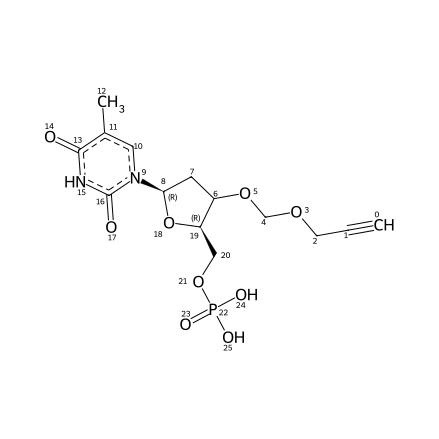 C#CCOCOC1C[C@H](n2cc(C)c(=O)[nH]c2=O)O[C@@H]1COP(=O)(O)O